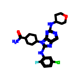 NC(=O)C1CCC(n2c(Nc3cc(Cl)ccc3F)nc3cnc(NC4CCOCC4)nc32)CC1